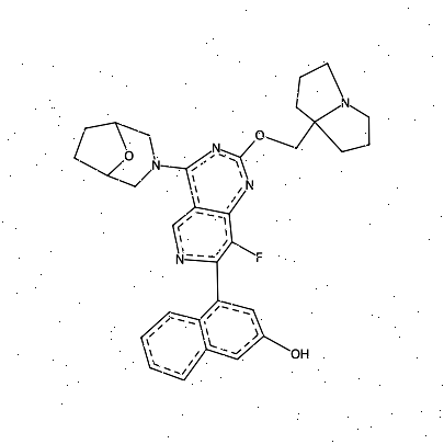 Oc1cc(-c2ncc3c(N4CC5CCC(C4)O5)nc(OCC45CCCN4CCC5)nc3c2F)c2ccccc2c1